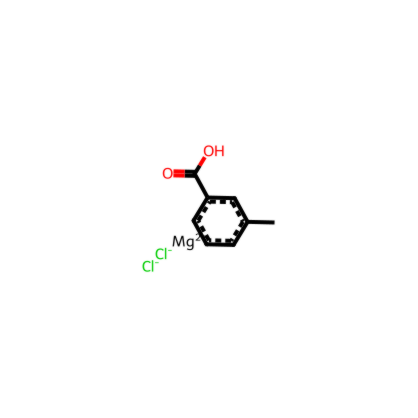 Cc1cccc(C(=O)O)c1.[Cl-].[Cl-].[Mg+2]